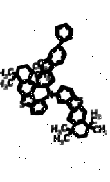 CC1(C)CCC(C)(C)c2cc3c(cc21)sc1ccc(N(c2ccc4oc5cc(-c6ccccc6)ccc5c4c2)c2cccc4sc5cc6c(cc5c24)C(C)(C)CCC6(C)C)cc13